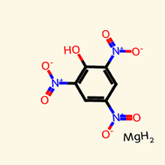 O=[N+]([O-])c1cc([N+](=O)[O-])c(O)c([N+](=O)[O-])c1.[MgH2]